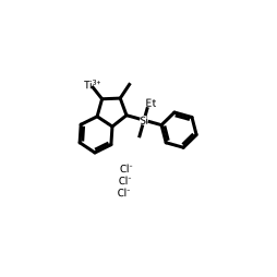 CC[Si](C)(c1ccccc1)C1C(C)[CH]([Ti+3])C2C=CC=CC21.[Cl-].[Cl-].[Cl-]